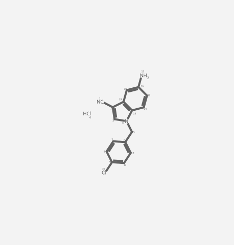 Cl.N#Cc1cn(Cc2ccc(Cl)cc2)c2ccc(N)cc12